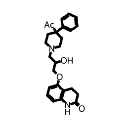 CC(=O)C1(c2ccccc2)CCN(CC(O)COc2cccc3c2CCC(=O)N3)CC1